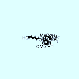 C#CCCCCCOC[C@H]1O[C@H](OC)[C@@H](O)[C@H]2OC(C)(OC)C(C)(OC)O[C@@H]21